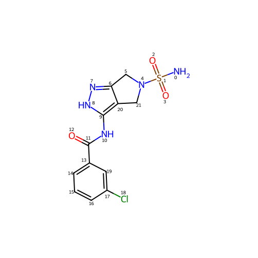 NS(=O)(=O)N1Cc2n[nH]c(NC(=O)c3cccc(Cl)c3)c2C1